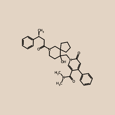 C[C@@H](CC(=O)N1CCC(O)(Cn2cc(C(=O)N(C)C)c(-c3ccccc3)cc2=O)C2(CCCC2)C1)c1ccccc1